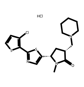 CN1C(=O)[C@@H](CN2CCCCC2)C[C@H]1c1cnc(-c2sccc2Cl)s1.Cl